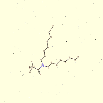 C=C(N(CCCCCCCC)CCCCCCCC)[SiH](C)C